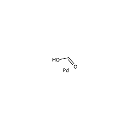 O=CO.[Pd]